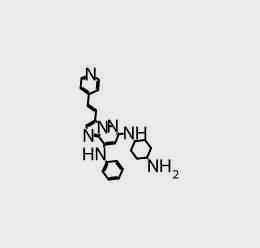 N[C@H]1CC[C@H](Nc2cc(Nc3ccccc3)c3ncc(/C=C/c4ccncc4)n3n2)CC1